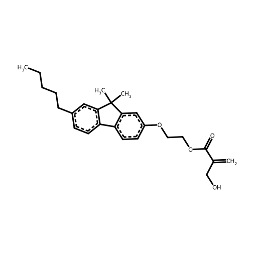 C=C(CO)C(=O)OCCOc1ccc2c(c1)C(C)(C)c1cc(CCCCC)ccc1-2